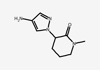 CN1CCCC(n2cc(N)cn2)C1=O